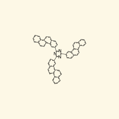 c1ccc2c(c1)ccc1c3cc(-c4nc(-c5ccc6ccc7c8ccccc8ccc7c6c5)nc(-c5ccc6ccc7c8ccccc8ccc7c6c5)n4)ccc3ccc21